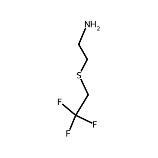 NCCSCC(F)(F)F